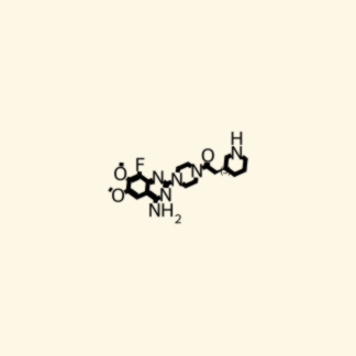 COc1cc2c(N)nc(N3CCN(C(=O)C[C@@H]4CCCNC4)CC3)nc2c(F)c1OC